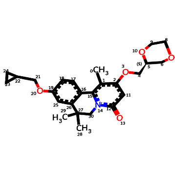 Cc1c(OC[C@@H]2COCCO2)cc(=O)n2c1-c1ccc(OCC3CC3)cc1C(C)(C)C2